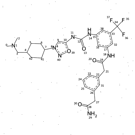 CN(C)CC1CCC([n+]2cc([N-]C(=O)Nc3cc(NC(=O)Cc4cccc(CC(N)=O)c4)cc(C(F)(F)F)c3)on2)CC1